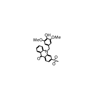 COc1cc(Cn2c3ccccc3c(=O)c3ccc(S(C)(=O)=O)cc32)cc(OC)c1O